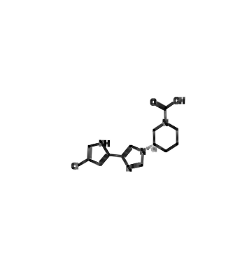 O=C(O)N1CCC[C@H](n2cnc(-c3cc(Cl)c[nH]3)c2)C1